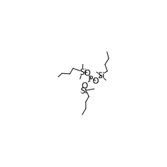 CCCC[Si](C)(C)OP(O[Si](C)(C)CCCC)O[Si](C)(C)CCCC